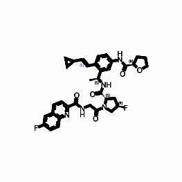 C[C@H](NC(=O)[C@@H]1C[C@@H](F)CN1C(=O)CNC(=O)c1ccc2cc(F)ccc2n1)c1cc(NC(=O)[C@H]2CCCO2)ccc1/C=C/C1CC1